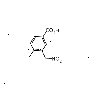 Cc1ccc(C(=O)O)cc1C[N+](=O)[O-]